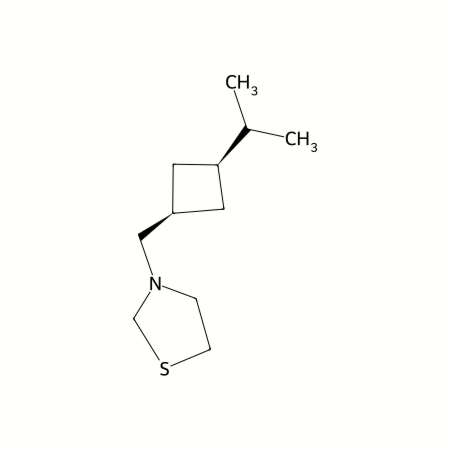 CC(C)[C@H]1C[C@@H](CN2CCSC2)C1